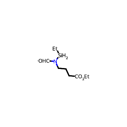 CCOC(=O)CCCN([C]=O)[SiH2]CC